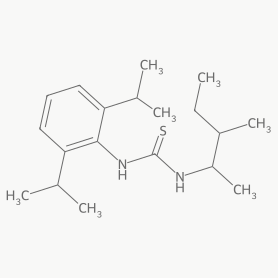 CCC(C)C(C)NC(=S)Nc1c(C(C)C)cccc1C(C)C